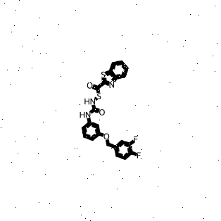 O=C(NSC(=O)c1nc2ccccc2s1)Nc1cccc(OCc2ccc(F)c(F)c2)c1